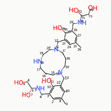 Cc1cc(CNC(O)CO)c(O)c(CN2CCCNCCN(Cc3cc(C)cc(CNC(O)CO)c3O)CCC2)c1